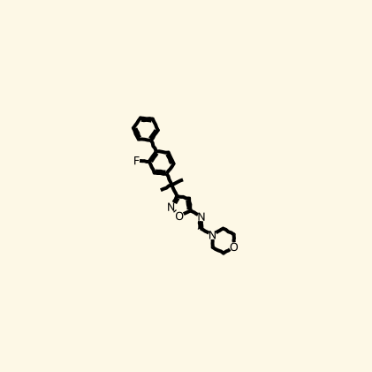 CC(C)(c1ccc(-c2ccccc2)c(F)c1)c1cc(N=[C]N2CCOCC2)on1